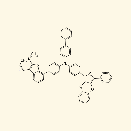 C=Nc1sc2c(-c3ccc(N(c4ccc(-c5ccccc5)cc4)c4ccc(-c5sc(-c6ccccc6)c6c5Oc5ccccc5O6)cc4)cc3)cccc2c1/C=C\C